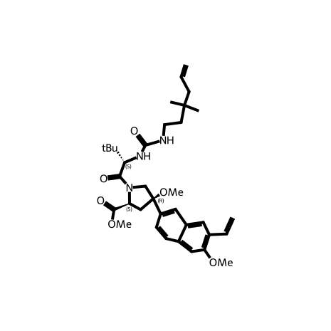 C=CCC(C)(C)CCNC(=O)N[C@H](C(=O)N1C[C@](OC)(c2ccc3cc(OC)c(C=C)cc3c2)C[C@H]1C(=O)OC)C(C)(C)C